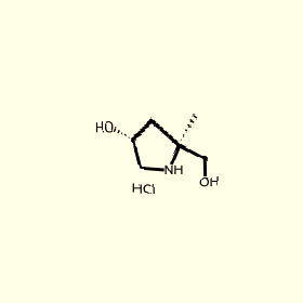 C[C@@]1(CO)C[C@@H](O)CN1.Cl